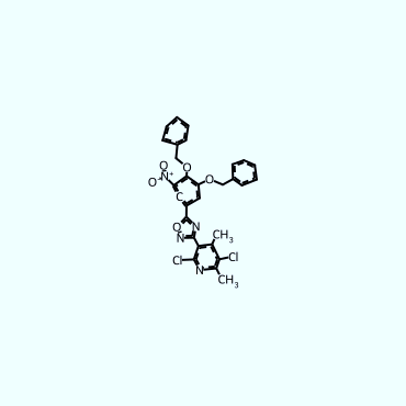 Cc1nc(Cl)c(-c2noc(-c3cc(OCc4ccccc4)c(OCc4ccccc4)c([N+](=O)[O-])c3)n2)c(C)c1Cl